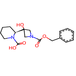 O=C(OCc1ccccc1)N1CC(O)([C@@H]2CCCCN2C(=O)O)C1